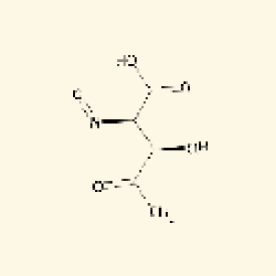 CC(=O)[C@H](O)[C@@H](N=O)C(=O)O